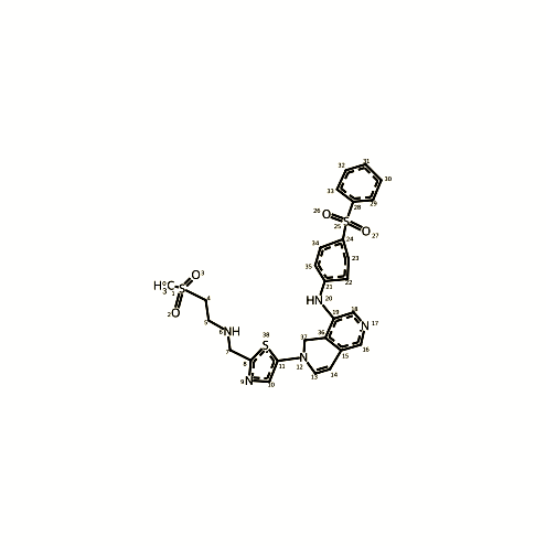 CS(=O)(=O)CCNCc1ncc(N2C=Cc3cncc(Nc4ccc(S(=O)(=O)c5ccccc5)cc4)c3C2)s1